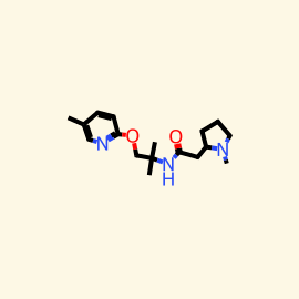 Cc1ccc(OCC(C)(C)NC(=O)CC2CCCN2C)nc1